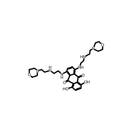 O=C1c2c(O)ccc(O)c2C(=O)c2c(NCCNCCN3CCOCC3)ccc(NCCNCCN3CCOCC3)c21